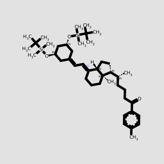 Cc1ccc(C(=O)CCC[C@@H](C)[C@H]2CC[C@H]3/C(=C/C=C4C[C@@H](O[Si](C)(C)C(C)(C)C)C[C@H](O[Si](C)(C)C(C)(C)C)C4)CCC[C@]23C)cc1